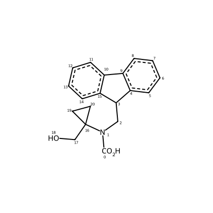 O=C(O)N(CC1c2ccccc2-c2ccccc21)C1(CO)CC1